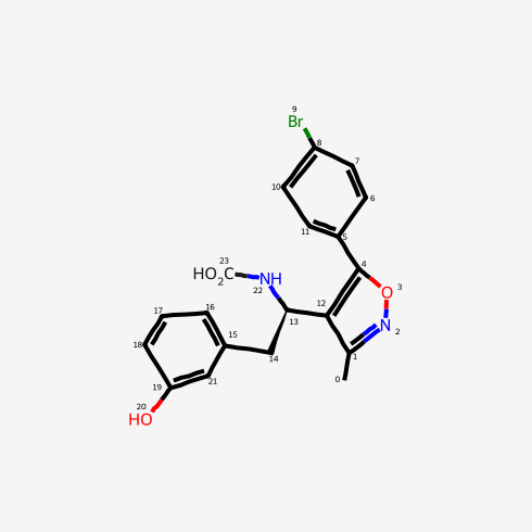 Cc1noc(-c2ccc(Br)cc2)c1[C@@H](Cc1cccc(O)c1)NC(=O)O